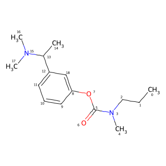 CCCN(C)C(=O)Oc1cccc(C(C)N(C)C)c1